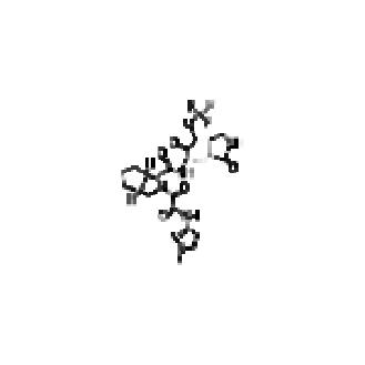 Cn1ccc(NC(=O)C(=O)N2C[C@@H]3CCC[C@@H]3[C@H]2C(=O)N[C@@H](C[C@@H]2CCNC2=O)C(=O)COC(F)(F)F)n1